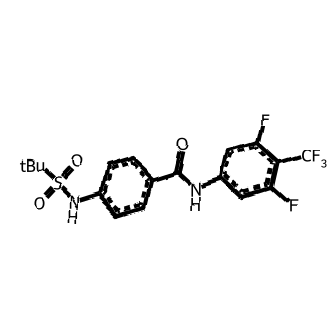 CC(C)(C)S(=O)(=O)Nc1ccc(C(=O)Nc2cc(F)c(C(F)(F)F)c(F)c2)cc1